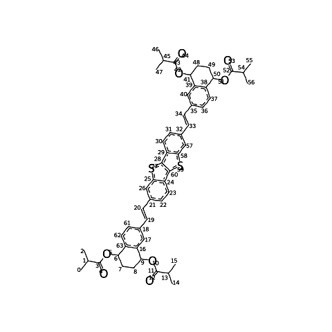 CC(C)C(=O)OC1CCC(OC(=O)C(C)C)c2cc(/C=C/c3ccc4c(c3)sc3c5ccc(/C=C/c6ccc7c(c6)C(OC(=O)C(C)C)CCC7OC(=O)C(C)C)cc5sc43)ccc21